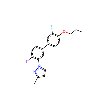 CCCOc1ccc(-c2ccc(I)c(-n3ccc(C)n3)c2)cc1F